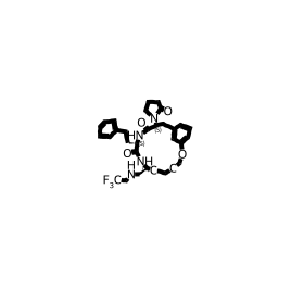 O=C1N[C@H](CNCC(F)(F)F)CCCCOc2cccc(c2)C[C@H](N2CCCC2=O)C(=O)N[C@H]1CCc1ccccc1